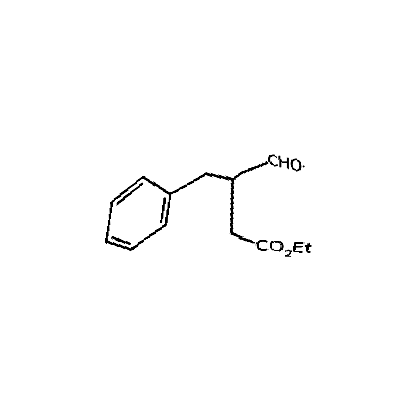 CCOC(=O)CC([C]=O)Cc1ccccc1